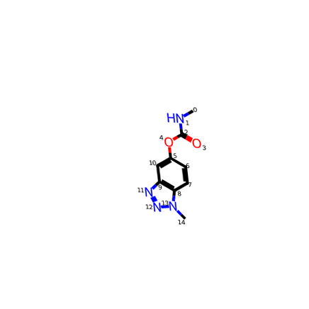 CNC(=O)Oc1ccc2c(c1)nnn2C